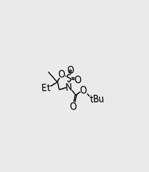 CCC1(C)CN(C(=O)OC(C)(C)C)S(=O)(=O)O1